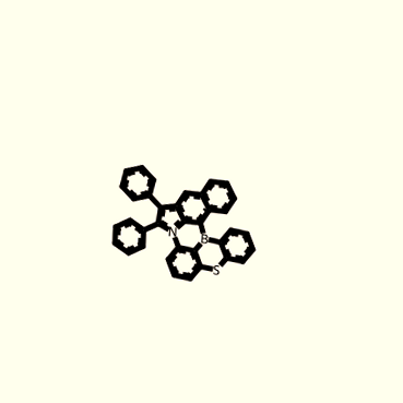 c1ccc(-c2c(-c3ccccc3)n3c4c(c5ccccc5cc24)B2c4ccccc4Sc4cccc-3c42)cc1